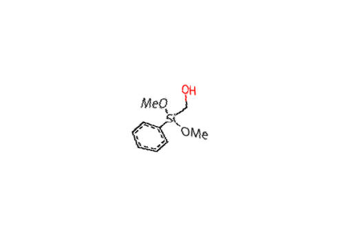 CO[Si](CO)(OC)c1ccccc1